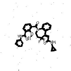 CCOc1c(C(=O)Nc2ccccc2)cccc1C(=O)N1CCC(F)(F)C(=CC(=O)NC2CC2)c2ccccc21